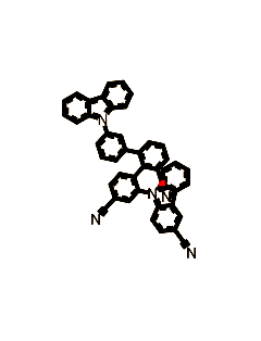 N#Cc1ccc(-c2c(C#N)cccc2-c2cccc(-n3c4ccccc4c4ccccc43)c2)c(-n2c3ccccc3c3cc(C#N)ccc32)c1